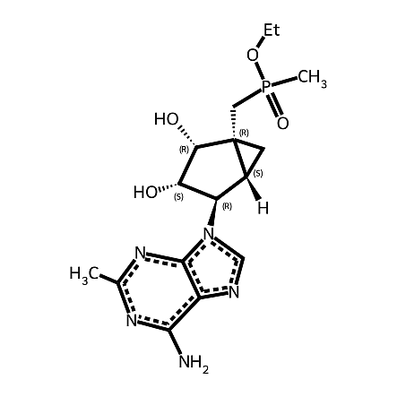 CCOP(C)(=O)C[C@]12C[C@@H]1[C@@H](n1cnc3c(N)nc(C)nc31)[C@H](O)[C@@H]2O